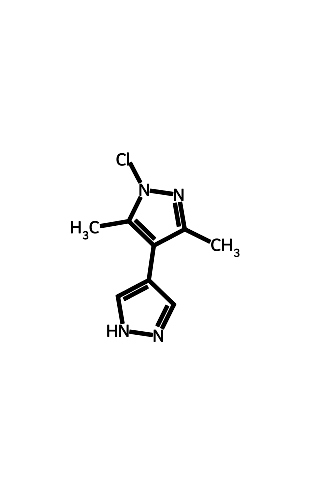 Cc1nn(Cl)c(C)c1-c1cn[nH]c1